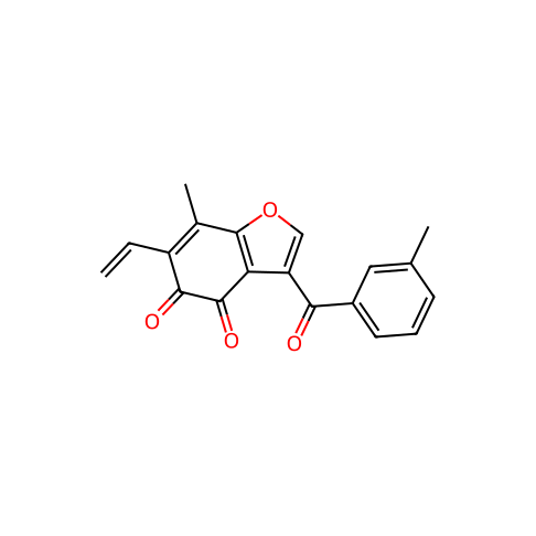 C=CC1=C(C)c2occ(C(=O)c3cccc(C)c3)c2C(=O)C1=O